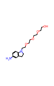 Nc1ccc2c(c1)CCN2CCOCCOCCOCCO